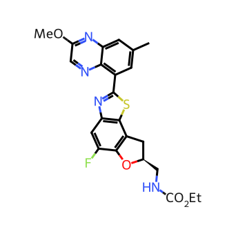 CCOC(=O)NC[C@@H]1Cc2c(c(F)cc3nc(-c4cc(C)cc5nc(OC)cnc45)sc23)O1